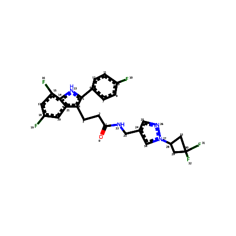 O=C(CCc1c(-c2ccc(F)cc2)[nH]c2c(F)cc(F)cc12)NCc1cnn(C2CC(F)(F)C2)c1